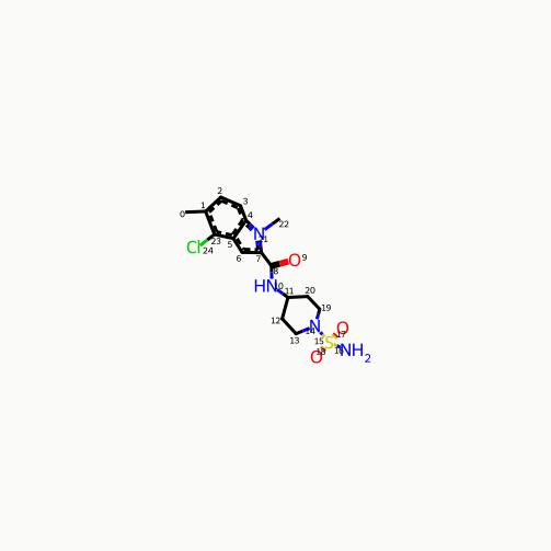 Cc1ccc2c(cc(C(=O)NC3CCN(S(N)(=O)=O)CC3)n2C)c1Cl